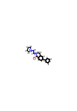 O=C1c2ccc(-c3ccccc3)cc2CCN1CCN1CCCC1